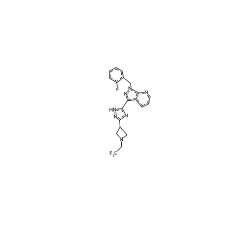 Fc1ccccc1Cn1nc(-c2nc(C3CN(CC(F)(F)F)C3)n[nH]2)c2cccnc21